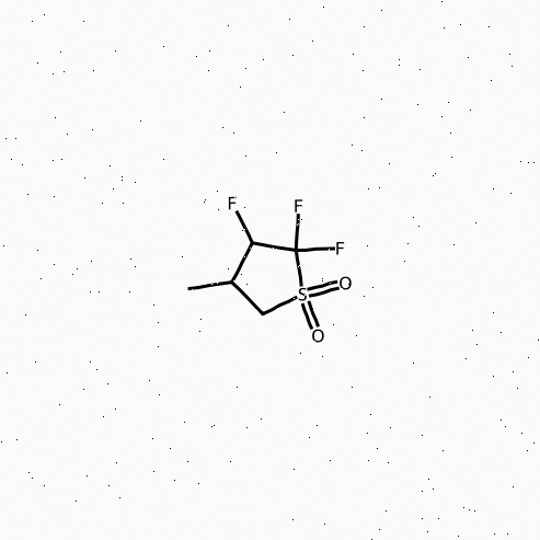 CC1CS(=O)(=O)C(F)(F)C1F